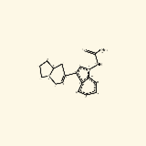 CCCCCCC(=O)Nn1cc(C2=CCN3CCCC3C2)c2ccccc21